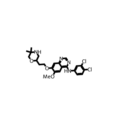 COc1cc2c(Nc3ccc(Cl)c(Cl)c3)ncnc2cc1OCCC1CNC(C)(C)CO1